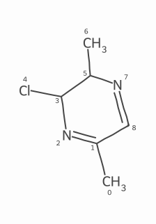 CC1=NC(Cl)C(C)N=C1